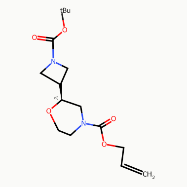 C=CCOC(=O)N1CCO[C@@H](C2CN(C(=O)OC(C)(C)C)C2)C1